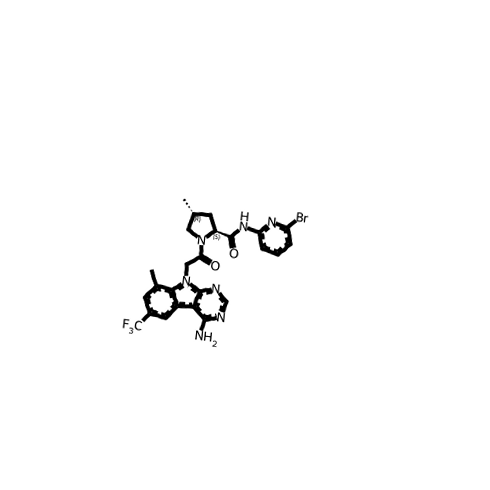 Cc1cc(C(F)(F)F)cc2c3c(N)ncnc3n(CC(=O)N3C[C@H](C)C[C@H]3C(=O)Nc3cccc(Br)n3)c12